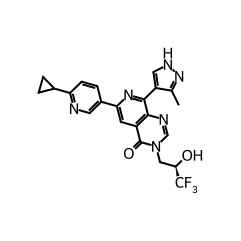 Cc1n[nH]cc1-c1nc(-c2ccc(C3CC3)nc2)cc2c(=O)n(C[C@@H](O)C(F)(F)F)cnc12